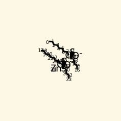 CCCCCCCCOP([O-])(=S)SCCCC.CCCCCCCCOP([O-])(=S)SCCCC.[Zn+2]